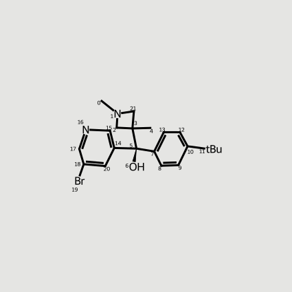 CN1CC(C)([C@](O)(c2ccc(C(C)(C)C)cc2)c2cncc(Br)c2)C1